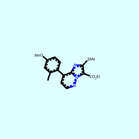 CCOC(=O)c1c(SC)nc2c(-c3ccc(OC)cc3C)ccnn12